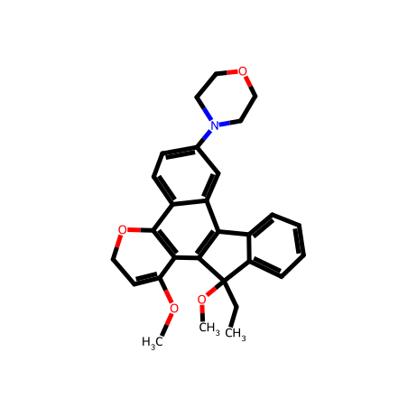 CCC1(OC)c2ccccc2-c2c1c1c(c3ccc(N4CCOCC4)cc23)OCC=C1OC